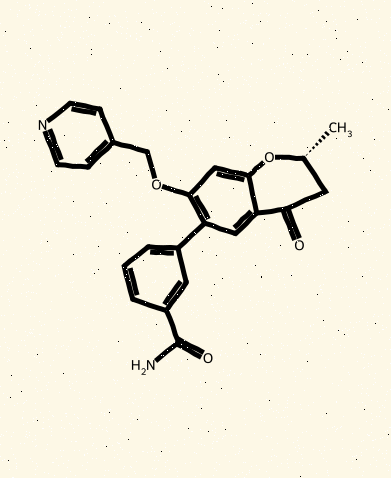 C[C@@H]1CC(=O)c2cc(-c3cccc(C(N)=O)c3)c(OCc3ccncc3)cc2O1